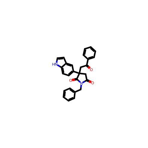 O=C(CC1(c2ccc3[nH]ccc3c2)CC(=O)N(Cc2ccccc2)C1=O)c1ccccc1